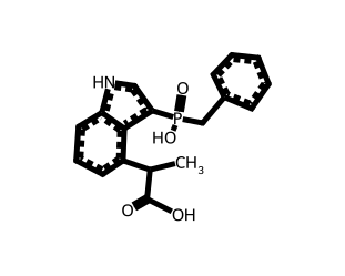 CC(C(=O)O)c1cccc2[nH]cc(P(=O)(O)Cc3ccccc3)c12